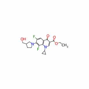 CCOC(=O)c1cn(C2CC2)c2c(F)c(N3CCC(CO)C3)c(F)cc2c1=O